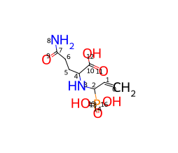 C=CC(NC(CCC(N)=O)C(=O)O)P(=O)(O)O